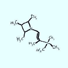 C/C(=C\N1C(C)C(C)C1C)S(C)(C)C